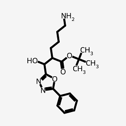 CC(C)(C)OC(=O)C(CCCCN)C(O)c1nnc(-c2ccccc2)o1